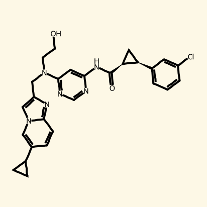 O=C(Nc1cc(N(CCO)Cc2cn3cc(C4CC4)ccc3n2)ncn1)[C@H]1C[C@H]1c1cccc(Cl)c1